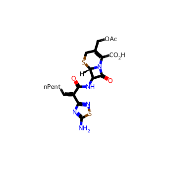 CCCCC/C=C(\C(=O)NC1C(=O)N2C(C(=O)O)=C(COC(C)=O)CS[C@@H]12)c1nsc(N)n1